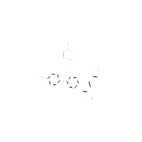 Fc1ccc(-c2ccccc2COC2CCNC2)cc1.O=C(O)C=CC(=O)O